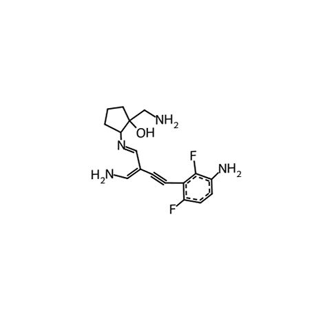 N/C=C(C#Cc1c(F)ccc(N)c1F)\C=N\C1CCCC1(O)CN